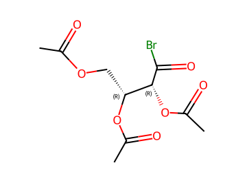 CC(=O)OC[C@@H](OC(C)=O)[C@@H](OC(C)=O)C(=O)Br